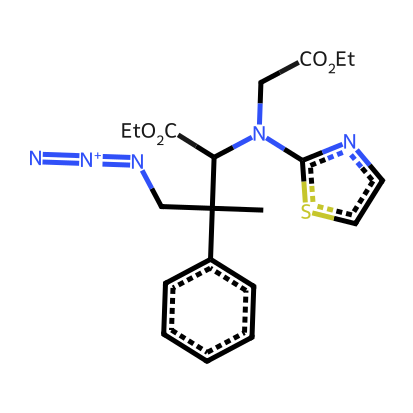 CCOC(=O)CN(c1nccs1)C(C(=O)OCC)C(C)(CN=[N+]=[N-])c1ccccc1